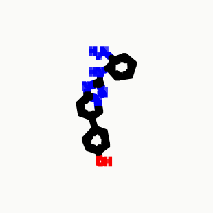 Nc1ccccc1Nc1nc2ccc(-c3ccc(O)cc3)cn2n1